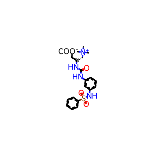 C[N+](C)(C)C[C@@H](CC(=O)[O-])NC(=O)Nc1cccc(NS(=O)(=O)c2ccccc2)c1